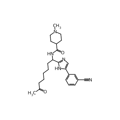 CC(=O)CCCCCC(NC(=O)C1CCN(C)CC1)c1ncc(-c2cccc(C#N)c2)[nH]1